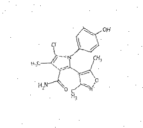 Cc1noc(C)c1-c1c(C(N)=O)c(C)c(Cl)n1-c1ccc(O)cc1